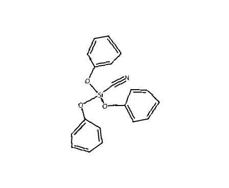 N#C[Si](Oc1ccccc1)(Oc1ccccc1)Oc1ccccc1